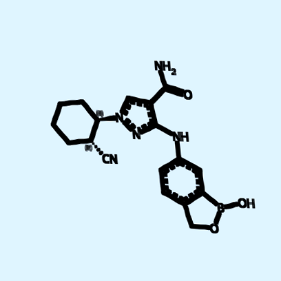 N#C[C@@H]1CCCC[C@H]1n1cc(C(N)=O)c(Nc2ccc3c(c2)B(O)OC3)n1